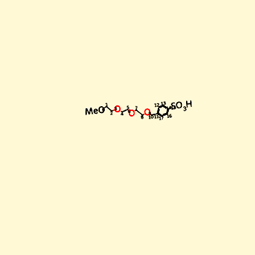 COCCOCCOCCOCc1ccc(S(=O)(=O)O)cc1